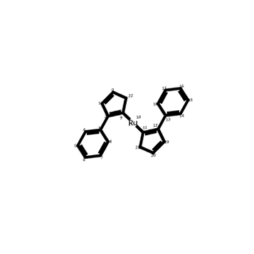 C1=CC(c2ccccc2)=[C]([Ru][C]2=C(c3ccccc3)C=CC2)C1